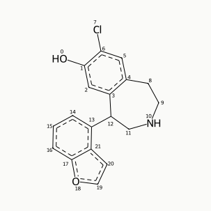 Oc1cc2c(cc1Cl)CCNCC2c1cccc2occc12